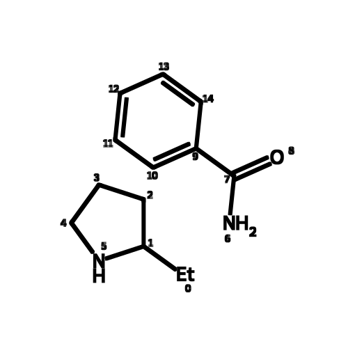 CCC1CCCN1.NC(=O)c1ccccc1